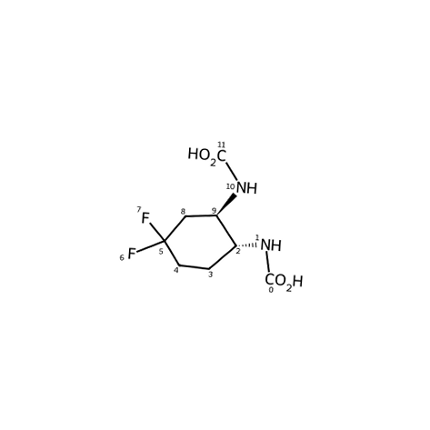 O=C(O)N[C@@H]1CCC(F)(F)C[C@H]1NC(=O)O